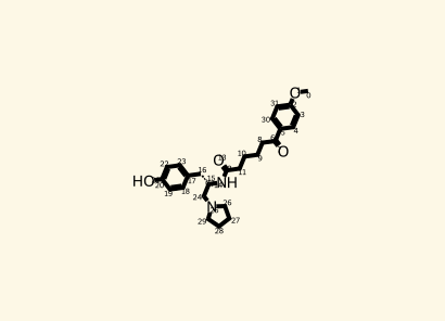 COc1ccc(C(=O)CCCCC(=O)N[C@@H](Cc2ccc(O)cc2)CN2CCCC2)cc1